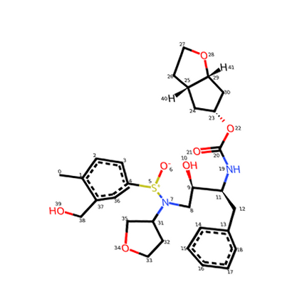 Cc1ccc([S+]([O-])N(C[C@@H](O)[C@H](Cc2ccccc2)NC(=O)O[C@@H]2C[C@@H]3CCO[C@@H]3C2)C2CCOC2)cc1CO